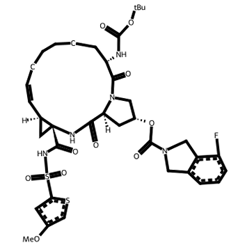 COc1csc(S(=O)(=O)NC(=O)[C@@]23C[C@H]2/C=C\CCCCC[C@H](NC(=O)OC(C)(C)C)C(=O)N2C[C@H](OC(=O)N4Cc5cccc(F)c5C4)C[C@H]2C(=O)N3)c1